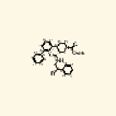 CC(C)C(CNC(=O)[C@H]1CN(C(=O)OC(C)(C)C)CC[C@@H]1c1cccc(-c2ccccc2)c1)c1ccccc1